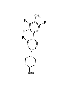 CCCC[C@H]1CC[C@H](c2ccc(-c3cc(F)c(C)c(F)c3F)c(F)c2)CC1